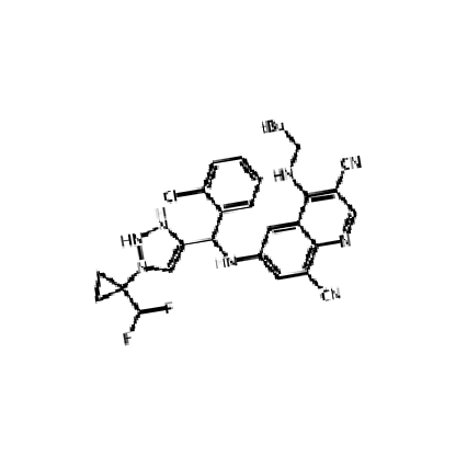 CC(C)(C)CNc1c(C#N)cnc2c(C#N)cc(NC(C3=CN(C4(C(F)F)CC4)NN3)c3ccccc3Cl)cc12